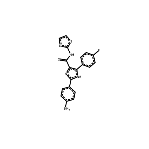 Nc1ccc(-c2nc(C(=O)Nc3nccs3)c(-c3ccc(F)cc3)[nH]2)cc1